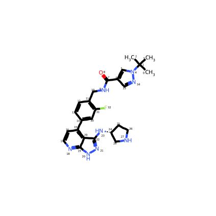 CC(C)(C)n1cc(C(=O)NCc2ccc(-c3ccnc4[nH]nc(N[C@@H]5CCNC5)c34)cc2F)cn1